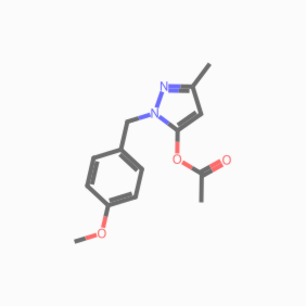 COc1ccc(Cn2nc(C)cc2OC(C)=O)cc1